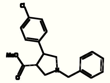 COC(=O)C1CN(Cc2ccccc2)CC1c1ccc(Cl)cc1